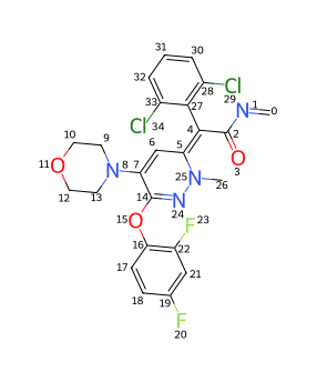 C=NC(=O)/C(=C1/C=C(N2CCOCC2)C(Oc2ccc(F)cc2F)=NN1C)c1c(Cl)cccc1Cl